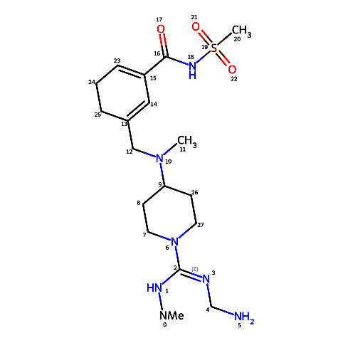 CNN/C(=N\CN)N1CCC(N(C)CC2=CC(C(=O)NS(C)(=O)=O)=CCC2)CC1